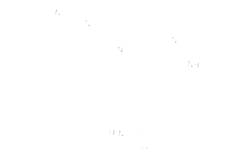 Cc1c(C(N)=O)ccc(-c2c[nH]c3ncc(-c4ccc(N5CCN(C)CC5)cn4)cc23)c1C